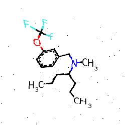 CCCC(CCC)N(C)Cc1cccc(OC(F)(F)F)c1